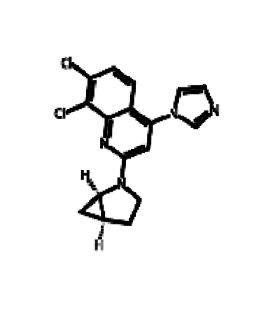 Clc1ccc2c(-n3ccnc3)cc(N3CC[C@H]4C[C@H]43)nc2c1Cl